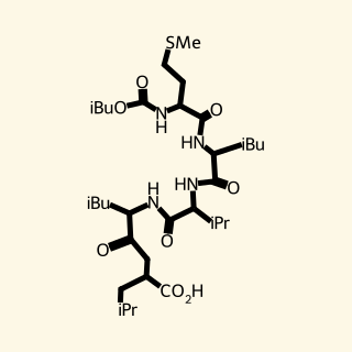 CCC(C)C(NC(=O)C(NC(=O)C(NC(=O)C(CCSC)NC(=O)OCC(C)C)C(C)CC)C(C)C)C(=O)CC(CC(C)C)C(=O)O